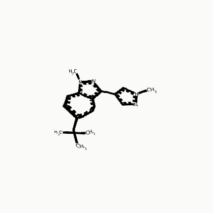 Cn1cc(-c2nn(C)c3ccc(C(C)(C)C)cc23)cn1